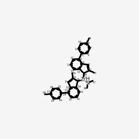 CC1=Cc2c(-c3ccc(C)cc3)cccc2[CH]1[Zr]([CH]1C(C)=Cc2c(-c3ccc(C)cc3)cccc21)[SiH](C)C